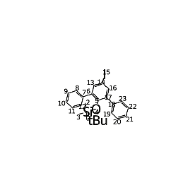 CC(C)(C)[Si](C)(C)Oc1c(-c2ccccc2)cc(I)cc1-c1ccccc1